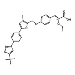 CCO[C@@H](Cc1ccc(OCc2oc(-c3ccc(-c4cc(C(C)(C)C)on4)cc3)cc2C)cc1)C(=O)O